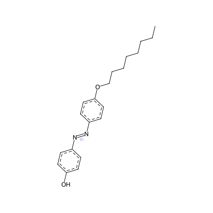 CCCCCCCCOc1ccc(/N=N/c2ccc(O)cc2)cc1